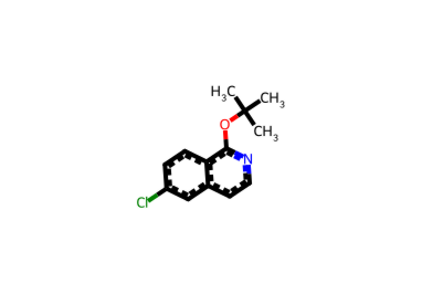 CC(C)(C)Oc1nccc2cc(Cl)ccc12